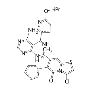 CC(C)Oc1ccc(C(=N)c2c(N)ncnc2N[C@@H](C)c2cc3scc(Cl)n3c(=O)c2-c2ccccc2)cn1